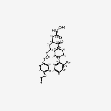 CCOc1ccc(COCCCC(CC(=O)NO)C(=O)N2CCN(c3ccccc3F)CC2)cc1